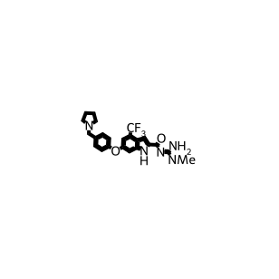 CNC(N)=NC(=O)c1cc2c(C(F)(F)F)cc(Oc3ccc(CN4CCCC4)cc3)cc2[nH]1